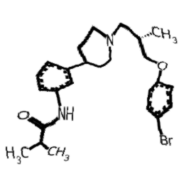 CC(C)C(=O)Nc1cccc(C2CCN(C[C@H](C)COc3ccc(Br)cc3)CC2)c1